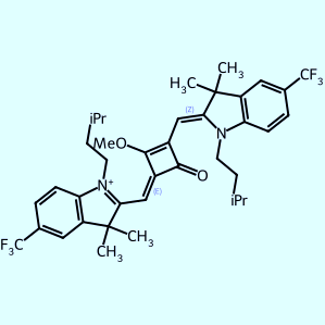 COC1=C(/C=C2\N(CCC(C)C)c3ccc(C(F)(F)F)cc3C2(C)C)C(=O)/C1=C/C1=[N+](CCC(C)C)c2ccc(C(F)(F)F)cc2C1(C)C